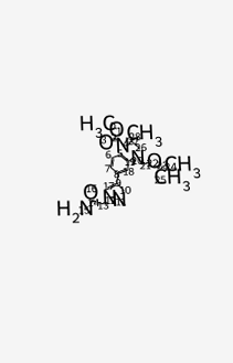 COC(=O)N1c2ccc(-c3cnn(CC(N)=O)c3)cc2N(COC(C)C)C[C@@H]1C